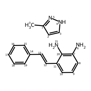 Cc1cc[nH]n1.Nc1cccc(C=Cc2ccccc2)c1N